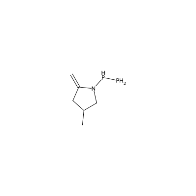 C=C1CC(C)CN1PP